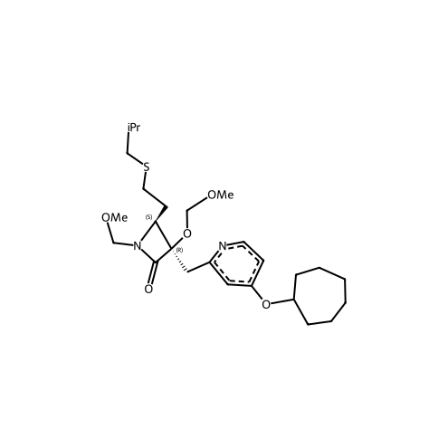 COCO[C@@]1(Cc2cc(OC3CCCCCC3)ccn2)C(=O)N(COC)[C@H]1CCSCC(C)C